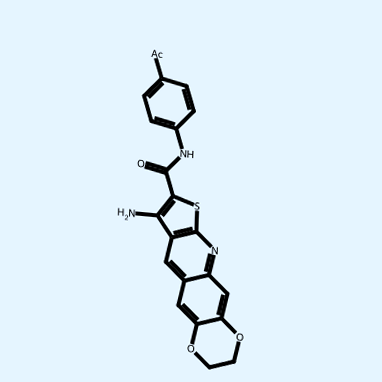 CC(=O)c1ccc(NC(=O)c2sc3nc4cc5c(cc4cc3c2N)OCCO5)cc1